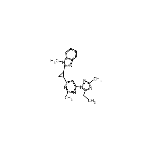 CCc1nc(C)nn1-c1cc(C2CC2c2nc3ccccc3n2C)nc(C)n1